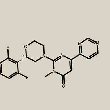 Cn1c(N2CCO[C@@H](c3c(F)cccc3F)C2)nc(-c2ccncn2)cc1=O